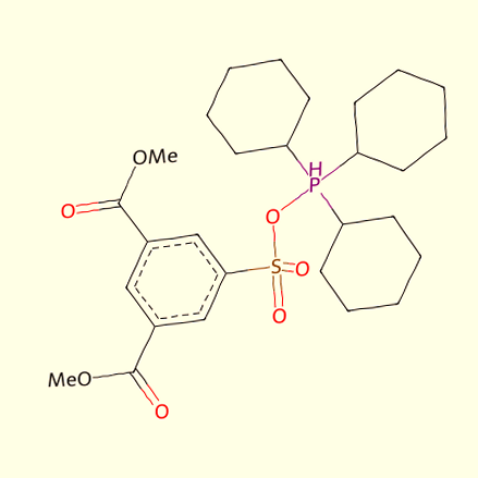 COC(=O)c1cc(C(=O)OC)cc(S(=O)(=O)O[PH](C2CCCCC2)(C2CCCCC2)C2CCCCC2)c1